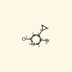 Clc1cc(C2CC2)c(Br)cn1